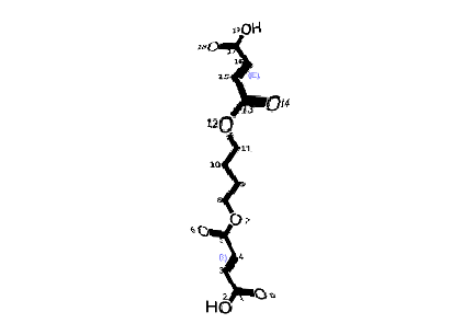 O=C(O)/C=C/C(=O)OCCCCOC(=O)/C=C/C(=O)O